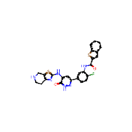 O=C(Nc1cc(-c2cc(Nc3nc4c(s3)CNCC4)c(=O)[nH]n2)ccc1F)c1cc2ccccc2s1